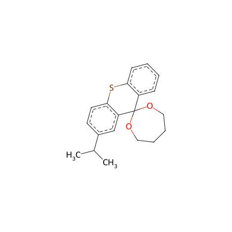 CC(C)c1ccc2c(c1)C1(OCCCCO1)c1ccccc1S2